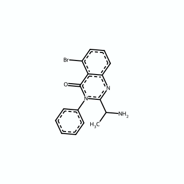 CC(N)c1nc2cccc(Br)c2c(=O)n1-c1ccccc1